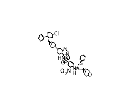 O=[N+]([O-])c1cc(S(=O)(=O)Nc2ncnc3cc(C4=CCN(Cc5cc(Cl)ccc5-c5ccccc5)CC4)ccc23)ccc1N[C@H](CCN1CCOCC1)CSc1ccccc1